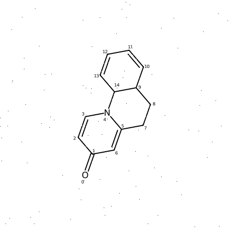 O=c1ccn2c(c1)CCC1C=CC=CC12